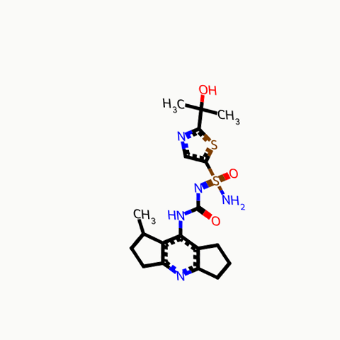 CC1CCc2nc3c(c(NC(=O)N=S(N)(=O)c4cnc(C(C)(C)O)s4)c21)CCC3